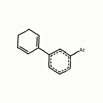 CC(=O)c1cccc(C2=CCCC=C2)c1